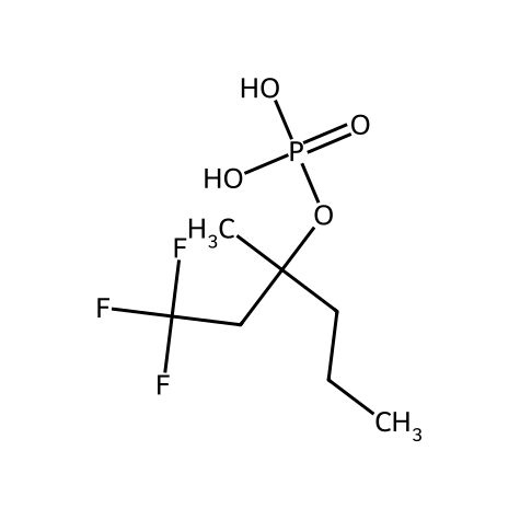 CCCC(C)(CC(F)(F)F)OP(=O)(O)O